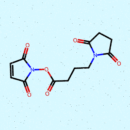 O=C(CCCN1C(=O)CCC1=O)ON1C(=O)C=CC1=O